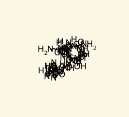 NCCCC[C@H](NC(=O)[C@@H]1CCCN1C(=O)[C@@H]1CSSC[C@H](NC(=O)CNC(=O)CNC(=O)CNC(=O)[C@H](Cc2cnc[nH]2)NC(=O)[C@H](Cc2cnc[nH]2)NC(=O)[C@@H](N)Cc2cnc[nH]2)C(=O)N[C@H](Cc2ccc(O)cc2)C(=O)N[C@@H](Cc2ccccc2)C(=O)N[C@@H](CCC(N)=O)C(=O)N[C@@H](CC(N)=O)C(=O)N1)C(=O)NCC(N)=O